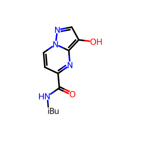 CCC(C)NC(=O)c1ccn2ncc(O)c2n1